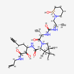 C#CCCC(NC(=O)[C@@H]1[C@@H]2[C@H](CN1C(=O)[C@@H](NC(=O)N[C@H](CN1CCCC[S+]1[O-])C(C)(C)C)C(C)(C)C)C2(C)C)C(=O)C(=O)NCC=C